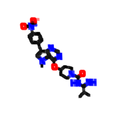 CC(C)C(=N)NC(=O)N1CCC(Oc2ncnc3c(-c4ccc([N+](=O)[O-])cc4)cn(C)c23)CC1